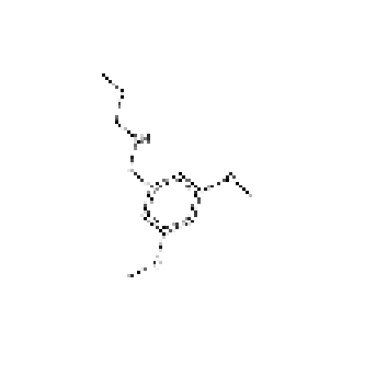 CCCNCc1cc(OC)cc(OC)c1